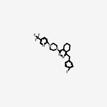 Fc1ccc(Cc2nnc(N3CCN(c4ccc(C(F)(F)F)cn4)CC3)c3c2CCCC3)cc1